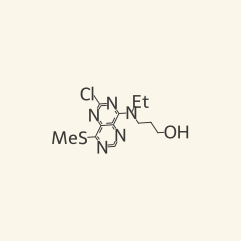 CCN(CCCO)c1nc(Cl)nc2c(SC)ncnc12